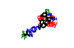 CC(=O)O[C@H]1C(C)=C[C@@H]2[C@H]([C@@H](C)CN3CCN(c4ncc(C(F)(F)F)cn4)CC3)CC[C@@H](C)[C@]2(O)C1[C@H]1[C@@H](C(=O)O)N[C@@H]2ON(C)c3c(Cl)cccc3[C@@]21O